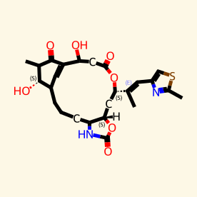 C/C(=C\c1csc(C)n1)[C@@H]1C[C@@H]2OC(=O)NC2CCCC2C=C(C(=O)C(C)[C@H]2O)C(O)CC(=O)O1